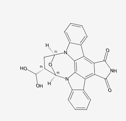 O=C1NC(=O)c2c1c1c3ccccc3n3c1c1c2c2ccccc2n1[C@@H]1O[C@H]3C[C@H]1C(O)O